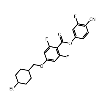 CCC1CCC(COc2cc(F)c(C(=O)Oc3ccc(C#N)c(F)c3)c(F)c2)CC1